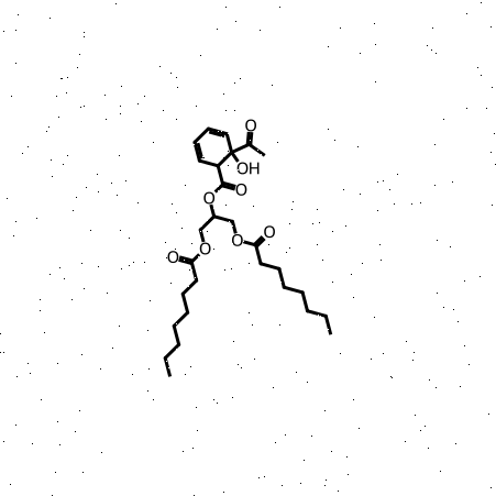 CCCCCCCC(=O)OCC(COC(=O)CCCCCCC)OC(=O)C1C=CC=CC1(O)C(C)=O